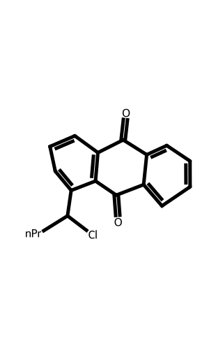 CCCC(Cl)c1cccc2c1C(=O)c1ccccc1C2=O